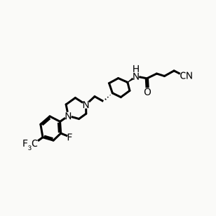 N#CCCCC(=O)N[C@H]1CC[C@H](CCN2CCN(c3ccc(C(F)(F)F)cc3F)CC2)CC1